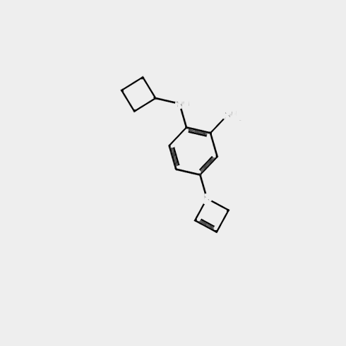 Nc1cc(N2C=CC2)ccc1NC1CCC1